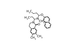 CCCC(Oc1ccc2ccccc2c1)N(C)C(CC)N1CCc2cc(C)c(C)cc2C1=O